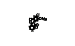 COc1cc(N2C(=O)C3CCCCC3(Cl)C2=O)c(Cl)cc1Cl